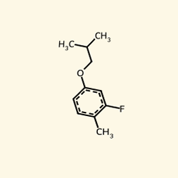 Cc1ccc(OCC(C)C)cc1F